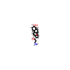 CN(C)CCC(=O)[C@H]1CC[C@H]2[C@@H]3CC[C@@H]4C[C@](C)(O)CC[C@@H]4[C@H]3CC[C@]12C